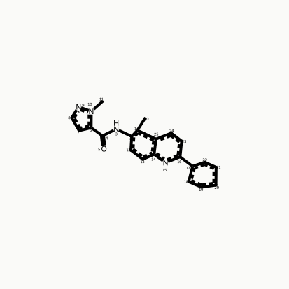 Cc1c(NC(=O)c2ccnn2C)ccc2nc(-c3ccccc3)ccc12